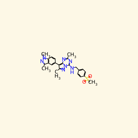 Cc1nc(NCc2ccc(S(C)(=O)=O)cc2)n2nc(C)c(-c3ccc4c(c3)c(C)nn4C)c2n1